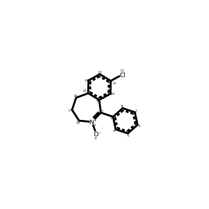 [O-][N+]1=C(c2ccccc2)c2cc(Cl)ccc2CCC1